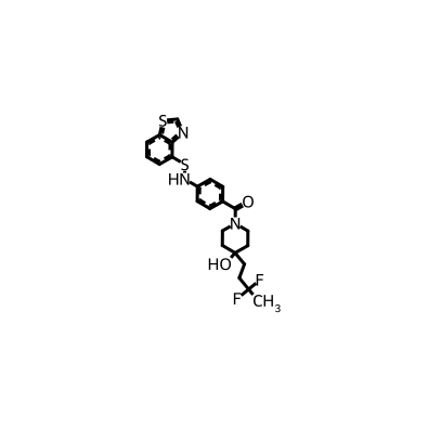 CC(F)(F)CCC1(O)CCN(C(=O)c2ccc(NSc3cccc4scnc34)cc2)CC1